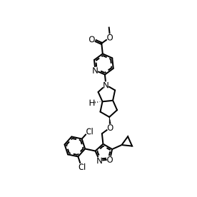 COC(=O)c1ccc(N2CC3C[C@@H](OCc4c(-c5c(Cl)cccc5Cl)noc4C4CC4)C[C@H]3C2)nc1